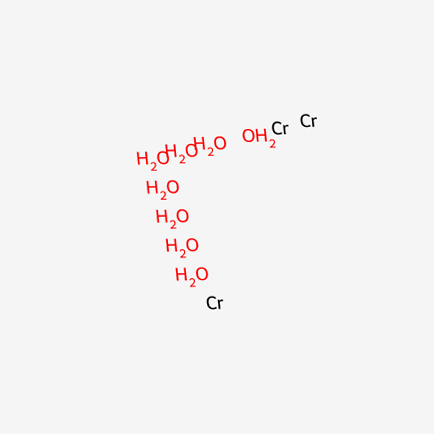 O.O.O.O.O.O.O.O.[Cr].[Cr].[Cr]